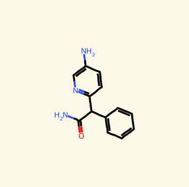 NC(=O)C(c1ccccc1)c1ccc(N)cn1